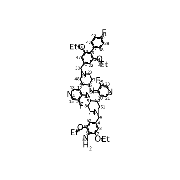 CCOc1cc(CN2CCC(N(c3ccncc3F)N(c3ccncc3F)C3CCN(Cc4cc(OCC)c(-c5ccc(F)cc5)c(OCC)c4)CC3)CC2)cc(OCC)c1N